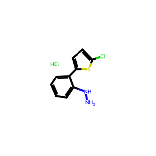 Cl.NNc1ccccc1-c1ccc(Cl)s1